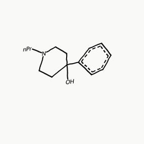 C[CH]CN1CCC(O)(c2ccccc2)CC1